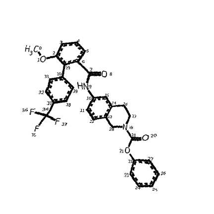 COc1cccc(C(=O)Nc2ccc3c(c2)CCN(C(=O)Oc2ccccc2)C3)c1-c1ccc(C(F)(F)F)cc1